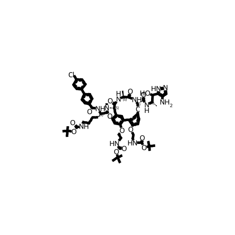 C[C@@H]1NC(=O)[C@@H](N(C)C(=O)[C@H](CCCCNC(=O)OC(C)(C)C)NC(=O)c2ccc(-c3ccc(Cl)cc3)cc2)c2ccc(OCCNC(=O)OC(C)(C)C)c(c2)-c2cc(ccc2OCCNC(=O)OC(C)(C)C)C[C@@H](C(=O)N[C@@H](C)C(O)c2[nH]ncc2N)NC1=O